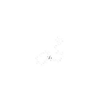 c1ccc(-c2cccc(-c3cccc(-c4ccc(-c5nc(-c6ccc(-c7cccc(-c8cccc(-c9cccc(-c%10cccc(-c%11cccc(-c%12ccc%13c(c%12)C%12(c%14ccccc%14-c%14ccccc%14%12)c%12ccccc%12-%13)c%11)c%10)c9)c8)c7)cc6)nc(-c6cccc(-c7cccc(-c8ccccc8)c7)c6)n5)cc4)c3)c2)cc1